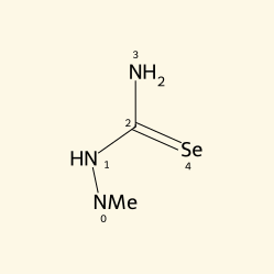 CNNC(N)=[Se]